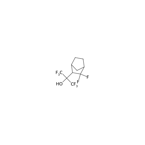 OC(C1C2CCC(C2)C1(F)F)(C(F)(F)F)C(F)(F)F